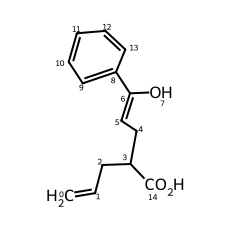 C=CCC(CC=C(O)c1ccccc1)C(=O)O